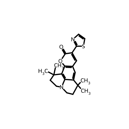 CC1(C)CCN2CCC(C)(C)c3c2c1cc1cc(-c2nccs2)c(=O)oc31